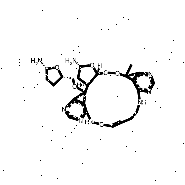 CC12OC[C@H]3O[C@@H](N)C[C@@H]3C3(OC[C@@H]4CC[C@H](N)O4)c4ncnc(c43)NC/C=C/CCNc3ncnc1c32